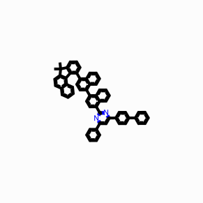 CC1(C)c2cccc(-c3ccc(-c4ccc(-c5nc(-c6ccccc6)cc(-c6ccc(-c7ccccc7)cc6)n5)c5ccccc45)c4ccccc34)c2-c2c1ccc1ccccc21